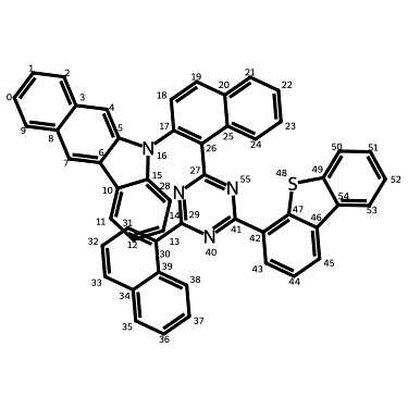 c1ccc2cc3c(cc2c1)c1ccccc1n3-c1ccc2ccccc2c1-c1nc(-c2cccc3ccccc23)nc(-c2cccc3c2sc2ccccc23)n1